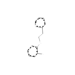 Nc1ccccc1NCCc1ccccn1